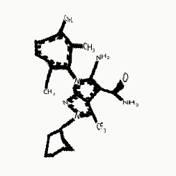 Cc1ccc(O)c(C)c1-n1c(N)c(C(N)=O)c2c(C(F)(F)F)n(C3CCCC3)nc21